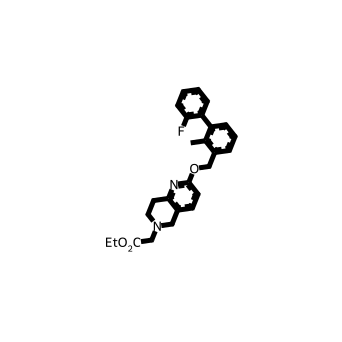 CCOC(=O)CN1CCc2nc(OCc3cccc(-c4ccccc4F)c3C)ccc2C1